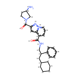 N[C@@H]1CCN(C(=O)c2cc3c(C(=O)NCC(CC4CCCCC4)c4ccccc4)cccn3n2)C1